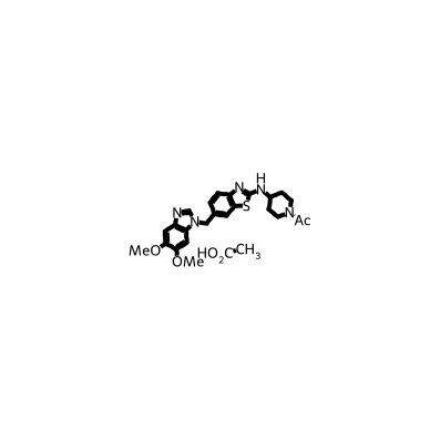 CC(=O)O.COc1cc2ncn(Cc3ccc4nc(NC5CCN(C(C)=O)CC5)sc4c3)c2cc1OC